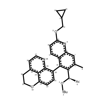 CC(=O)[C@@H](OC(C)(C)C)c1c(C)cc2nc(OCC3CC3)ccc2c1-c1ccc2c3c(ccnc13)CCO2